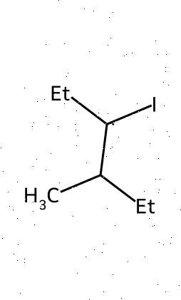 CC[C](I)C(C)CC